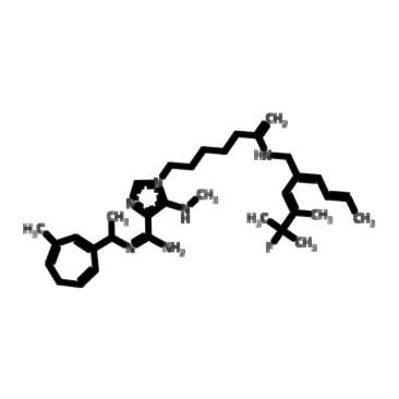 C=C(CCCCCn1cnc(/C(N)=N\C(C)C2=CC(C)=CCC=C2)c1NC)NCC(=C/C=C/C)/C=C(\C)C(C)(C)F